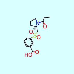 CCC(=O)N1CCC[C@H]1CS(=O)(=O)c1cccc(C(=O)O)c1